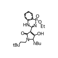 CCCCC1C(O)=C(C2=NP(=O)(OCC)c3ccccc3N2)C(=O)N1CCC(C)(C)C